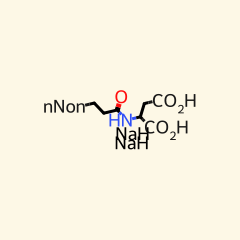 CCCCCCCCCCCC(=O)NC(CC(=O)O)C(=O)O.[NaH].[NaH]